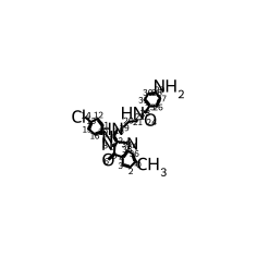 Cc1ccc(C(=O)c2nn(-c3ccc(Cl)cc3)c(NCCCNC(=O)c3ccc(N)cc3)c2C#N)cc1